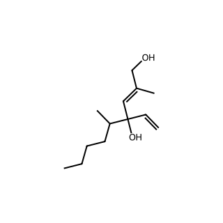 C=CC(O)(C=C(C)CO)C(C)CCCC